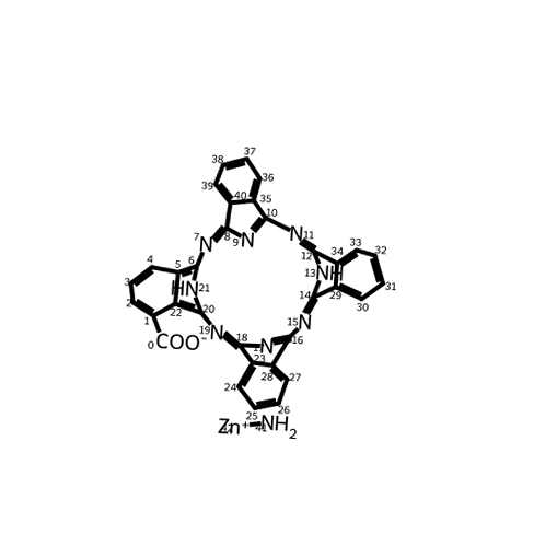 O=C([O-])c1cccc2c3nc4nc(nc5[nH]c(nc6nc(nc([nH]3)c12)-c1ccccc1-6)c1ccccc51)-c1ccccc1-4.[NH2][Zn+]